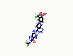 O=C(NCC(F)(F)F)c1ccc(Nc2ncnc3c2CCN(c2ccc([N+](=O)[O-])c(C(F)(F)F)c2)C3)nn1